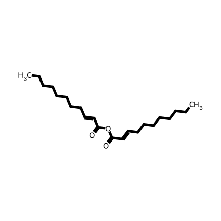 CCCCCCCCC=CC(=O)OC(=O)C=CCCCCCCCC